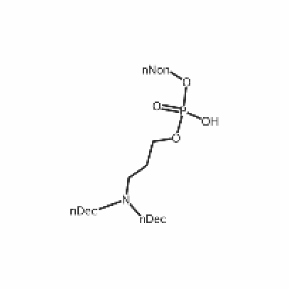 CCCCCCCCCCN(CCCCCCCCCC)CCCOP(=O)(O)OCCCCCCCCC